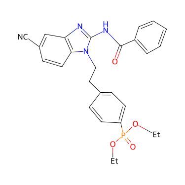 CCOP(=O)(OCC)c1ccc(CCn2c(NC(=O)c3ccccc3)nc3cc(C#N)ccc32)cc1